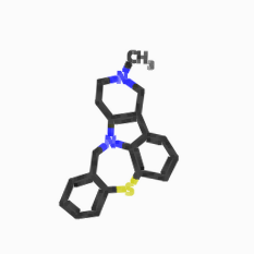 CN1CCc2c(c3cccc4c3n2Cc2ccccc2S4)C1